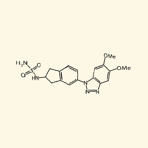 COc1cc2nnn(-c3ccc4c(c3)CC(NS(N)(=O)=O)C4)c2cc1OC